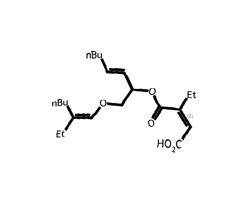 CCCCC=CC(COC=C(CC)CCCC)OC(=O)/C(=C\C(=O)O)CC